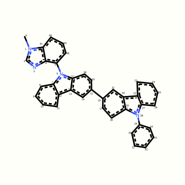 Cn1cnc2c(-n3c4ccccc4c4cc(-c5ccc6c(c5)c5ccccc5n6-c5ccccc5)ccc43)cccc21